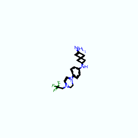 NC1CC2(C1)CC(Nc1ccc(N3CCN(CC(F)(F)F)CC3)cc1)C2